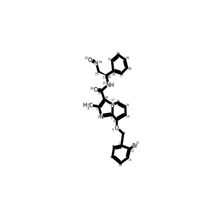 Cc1nc2c(OCc3ccccc3Br)cccn2c1C(=O)N[C@@H](CN=O)c1ccccc1